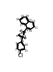 Clc1ccc(-c2csc(-c3cccc4ccccc34)n2)cc1